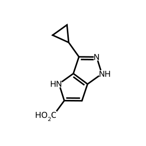 O=C(O)c1cc2[nH]nc(C3CC3)c2[nH]1